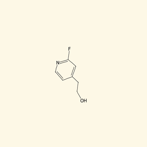 OCCc1ccnc(F)c1